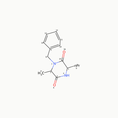 CCCC1NC(=O)C(C)N(Cc2ccccc2)C1=O